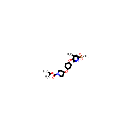 Cc1cc(S(C)(=O)=O)ncc1O[C@H]1CC[C@H](OC2CCN(C(=O)OC(C)C)CC2)CC1